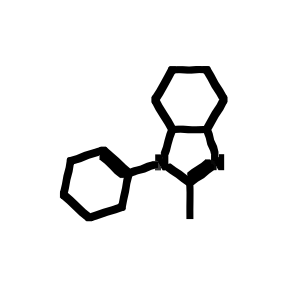 CC1=NC2CCCCC2N1C1=CCCCC1